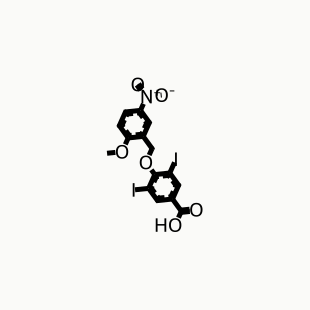 COc1ccc([N+](=O)[O-])cc1COc1c(I)cc(C(=O)O)cc1I